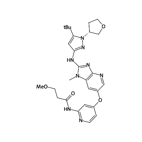 COCCC(=O)Nc1cc(Oc2cnc3nc(Nc4cc(C(C)(C)C)n([C@@H]5CCOC5)n4)n(C)c3c2)ccn1